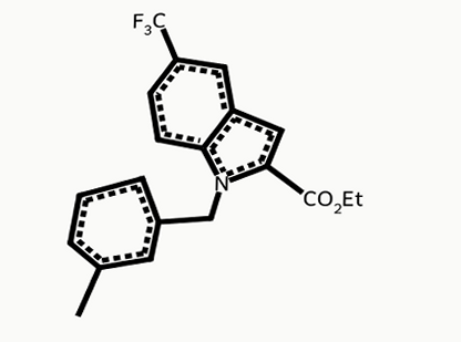 CCOC(=O)c1cc2cc(C(F)(F)F)ccc2n1Cc1cccc(C)c1